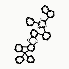 c1ccc(-c2nc(-c3ccccc3-c3cccc4c3Oc3ccc5c(c3O4)-c3ccccc3C5(c3ccccc3)c3ccccc3)nc(-c3cccc4ccccc34)n2)cc1